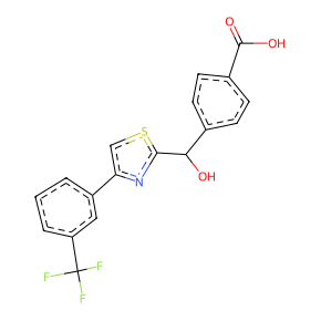 O=C(O)c1ccc(C(O)c2nc(-c3cccc(C(F)(F)F)c3)cs2)cc1